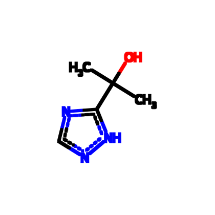 CC(C)(O)c1ncn[nH]1